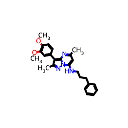 COc1ccc(-c2c(C)nn3c(NCCCc4ccccc4)cc(C)nc23)cc1OC